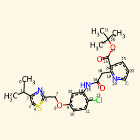 CC(C)c1csc(COc2ccc(Cl)c(NC(=O)Cc3ncccc3C(=O)OC(C)(C)C)c2)n1